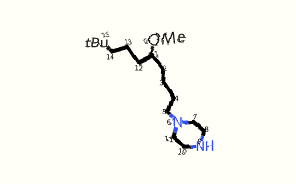 CO[C@@H](CCCCN1CCNCC1)CCCC(C)(C)C